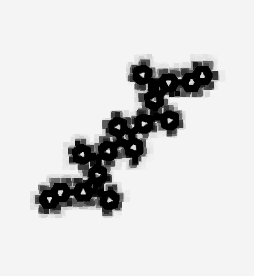 Cc1ccc2c(-c3ccc(N(c4ccccc4)c4ccc5c(c4)c4cc(-c6ccc7ccccc7c6)ccc4n5-c4ccccc4)cc3)c3ccccc3c(-c3ccc(N(c4ccccc4)c4ccc5c(c4)c4cc(-c6ccc7ccccc7c6)ccc4n5-c4ccccc4)cc3)c2c1